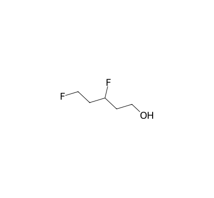 OCCC(F)CCF